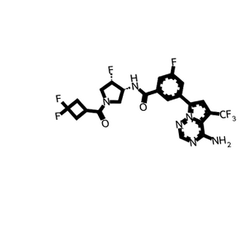 Nc1ncnn2c(-c3cc(F)cc(C(=O)N[C@@H]4CN(C(=O)C5CC(F)(F)C5)C[C@@H]4F)c3)cc(C(F)(F)F)c12